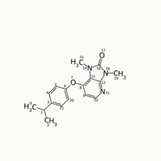 CC(C)c1ccc(Oc2ccnc3c2n(C)c(=O)n3C)cc1